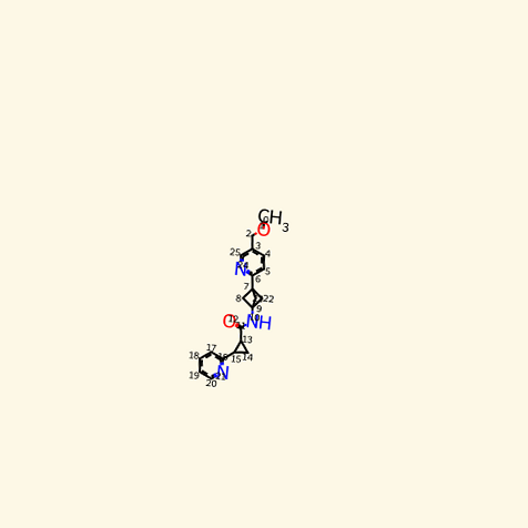 COCc1ccc(C23CC(NC(=O)C4CC4c4ccccn4)(C2)C3)nc1